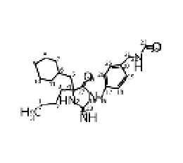 CCCCC1(CC2CCCCC2)NC(=N)N(Cc2ccc(CNC=O)cc2)C1=O